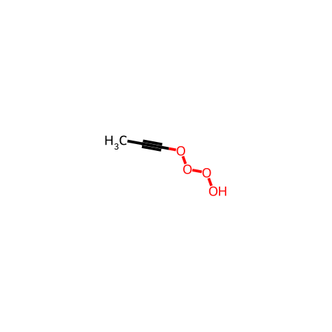 CC#COOOO